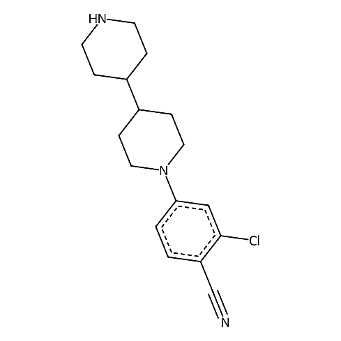 N#Cc1ccc(N2CCC(C3CCNCC3)CC2)cc1Cl